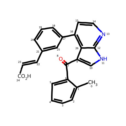 Cc1ccccc1C(=O)c1c[nH]c2nccc(-c3cccc(C=CC(=O)O)c3)c12